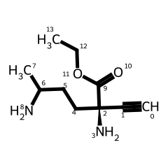 C#C[C@](N)(CCC(C)N)C(=O)OCC